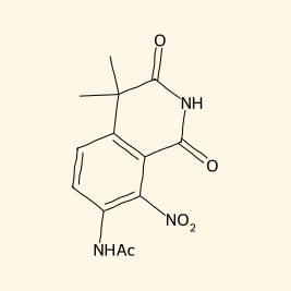 CC(=O)Nc1ccc2c(c1[N+](=O)[O-])C(=O)NC(=O)C2(C)C